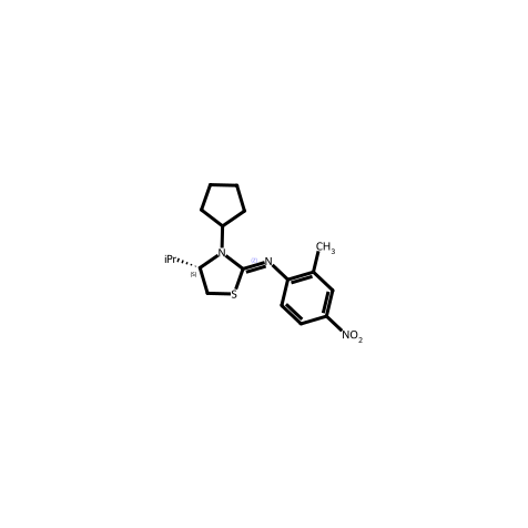 Cc1cc([N+](=O)[O-])ccc1/N=C1\SC[C@H](C(C)C)N1C1CCCC1